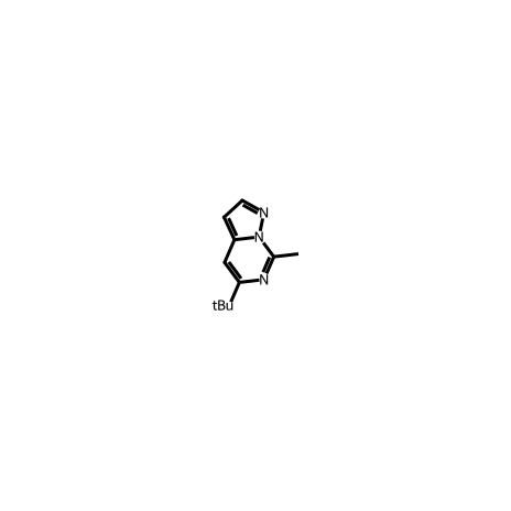 Cc1nc(C(C)(C)C)cc2ccnn12